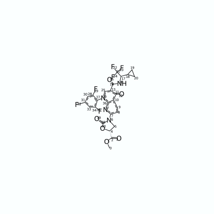 COC(=O)[C@H]1CN(c2ccc3c(=O)c(C(=O)NC(C4CC4)C(F)(F)F)cn(-c4c(F)cc(F)cc4F)c3n2)C(=O)O1